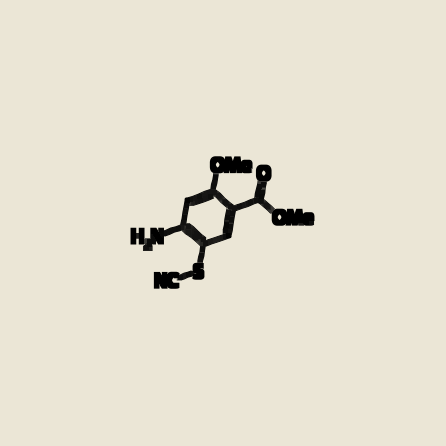 COC(=O)c1cc(SC#N)c(N)cc1OC